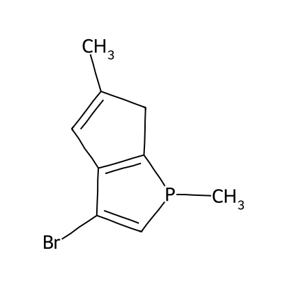 CC1=Cc2c(Br)cp(C)c2C1